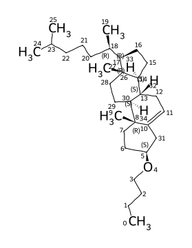 CCCCO[C@H]1CC[C@@]2(C)C(=CC[C@H]3[C@@H]4CC[C@H]([C@H](C)CCCC(C)C)[C@@]4(C)CC[C@@H]32)C1